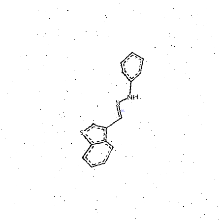 C(=N\Nc1ccccc1)/c1csc2ccccc12